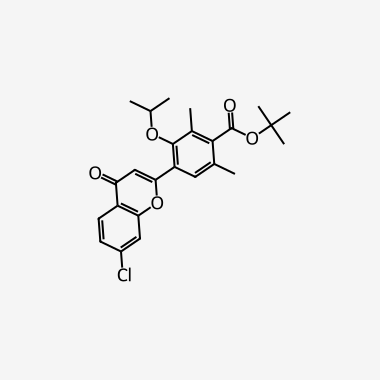 Cc1cc(-c2cc(=O)c3ccc(Cl)cc3o2)c(OC(C)C)c(C)c1C(=O)OC(C)(C)C